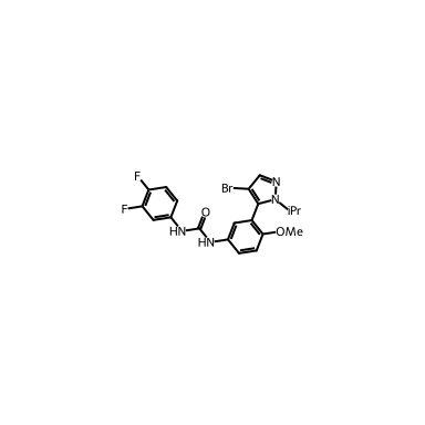 COc1ccc(NC(=O)Nc2ccc(F)c(F)c2)cc1-c1c(Br)cnn1C(C)C